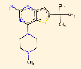 CN1CCN(c2nc(N)nc3cc(C(C)(C)C)sc23)CC1